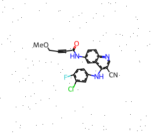 COCC#CC(=O)Nc1ccc2ncc(C#N)c(Nc3ccc(F)c(Cl)c3)c2c1